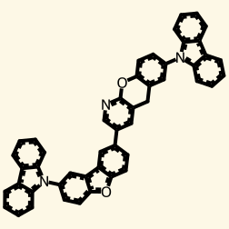 c1ccc2c(c1)c1ccccc1n2-c1ccc2c(c1)Cc1cc(-c3ccc4oc5ccc(-n6c7ccccc7c7ccccc76)cc5c4c3)cnc1O2